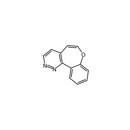 [c]1cc2c(nn1)-c1ccccc1OC=C2